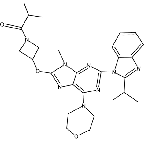 CC(C)C(=O)N1CC(Oc2nc3c(N4CCOCC4)nc(-n4c(C(C)C)nc5ccccc54)nc3n2C)C1